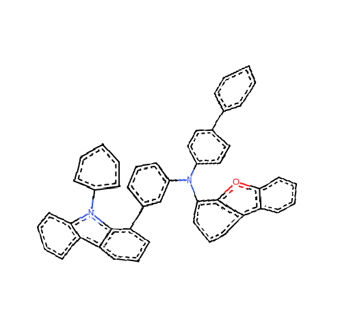 c1ccc(-c2ccc(N(c3cccc(-c4cccc5c6ccccc6n(-c6ccccc6)c45)c3)c3cccc4c3oc3ccccc34)cc2)cc1